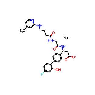 Cc1ccnc(NCCCC(=O)NCC(=O)NC(CC(=O)[O-])c2ccc(-c3ccc(F)cc3O)cc2)c1.[Na+]